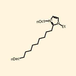 CCCCCCCCCCCCCCCCCCCc1n(CC)cc[n+]1CCCCCCCC